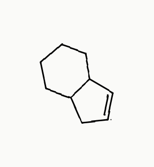 [C]1=CC2CCCCC2C1